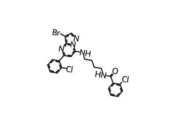 O=C(NCCCCNc1cc(-c2ccccc2Cl)nc2c(Br)cnn12)c1ccccc1Cl